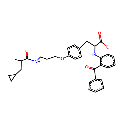 CC(CC1CC1)C(=O)NCCCOc1ccc(CC(Nc2ccccc2C(=O)c2ccccc2)C(=O)O)cc1